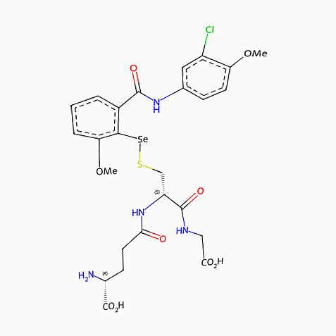 COc1ccc(NC(=O)c2cccc(OC)c2[Se]SC[C@@H](NC(=O)CC[C@@H](N)C(=O)O)C(=O)NCC(=O)O)cc1Cl